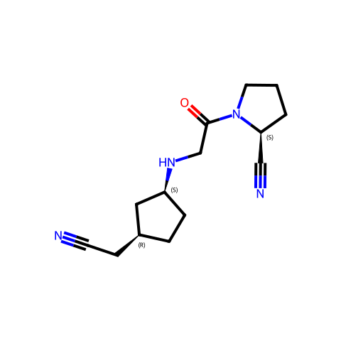 N#CC[C@@H]1CC[C@H](NCC(=O)N2CCC[C@H]2C#N)C1